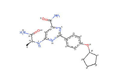 C[C@H](Nc1cc(C(N)=O)nc(-c2ccc(OC3CCCC3)cc2)n1)C(N)=O